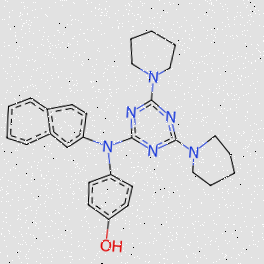 Oc1ccc(N(c2ccc3ccccc3c2)c2nc(N3CCCCC3)nc(N3CCCCC3)n2)cc1